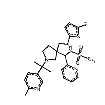 Cc1ccc(C(C)(C)N2CCC(CCc3ccc(F)s3)(C(NS(N)(=O)=O)c3ccccn3)C2)cn1